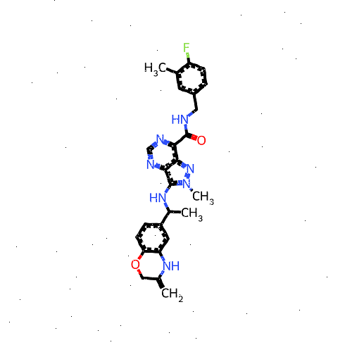 C=C1COc2ccc(C(C)Nc3c4ncnc(C(=O)NCc5ccc(F)c(C)c5)c4nn3C)cc2N1